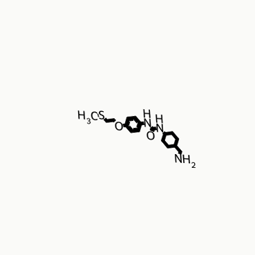 CSCCOc1ccc(NC(=O)NC2CCC(CN)CC2)cc1